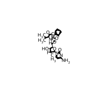 CC(=O)[C@@H](NP(=O)(OC[C@H]1O[C@@H](n2ccc(N)nc2=O)[C@](C)(F)[C@@H]1O)Oc1ccccc1)C(C)C